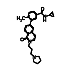 Cc1ccc(C(=O)NC2CC2)cc1-c1ccc2c(=O)n(CCCN3CCCC3)ccc2c1